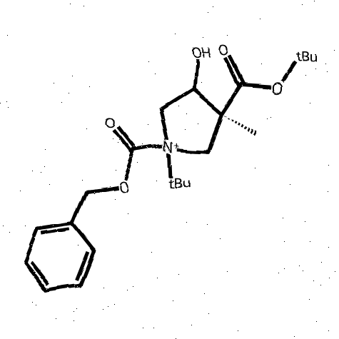 CC(C)(C)OC(=O)[C@@]1(C)C[N+](C(=O)OCc2ccccc2)(C(C)(C)C)CC1O